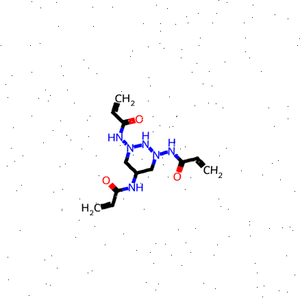 C=CC(=O)NC1CN(NC(=O)C=C)NN(NC(=O)C=C)C1